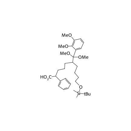 COc1cccc(C(OC)(OC)C(CCCCO[Si](C)(C)C(C)(C)C)CCCC(C(=O)O)c2ccccc2)c1OC